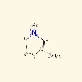 CCCC1CCCN(C(C)=O)C1